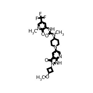 CO[C@H]1C[C@H](n2[nH]c3ncc(N4CCC(N(C)C(=O)Nc5cc(C(F)(F)F)cn(C)c5=O)CC4)cc3c2=O)C1